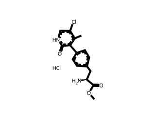 COC(=O)[C@@H](N)Cc1ccc(-c2c(C)c(Cl)c[nH]c2=O)cc1.Cl